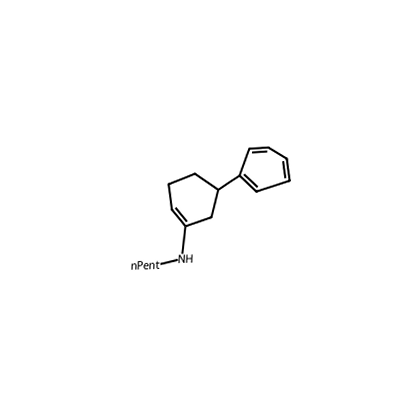 CCCCCNC1=CCCC(c2ccccc2)C1